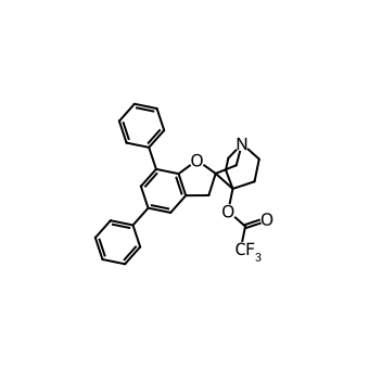 O=C(OC12CCN(CC1)CC21Cc2cc(-c3ccccc3)cc(-c3ccccc3)c2O1)C(F)(F)F